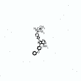 CC(C)(C)OC(=O)N1CC[C@]2(C1)C[C@H](n1nc(-c3ccc(Oc4ccccc4)cn3)c3c(N)ncnc31)C2